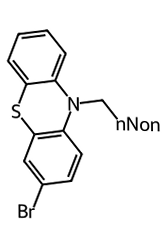 CCCCCCCCCCN1c2ccccc2Sc2cc(Br)ccc21